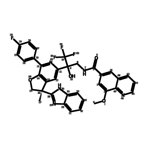 COc1cc(C(=O)NCC(O)(c2cc3c(c(-c4ccc(F)cc4)n2)OC[C@]3(C)c2nc3ccccc3[nH]2)C(F)(F)F)cc2cccnc12